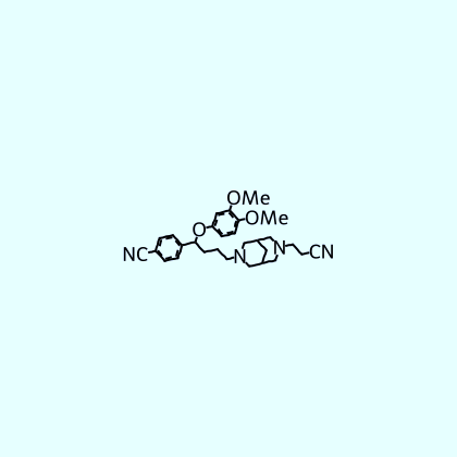 COc1ccc(OC(CCCN2CC3CC(CN(CCC#N)C3)C2)c2ccc(C#N)cc2)cc1OC